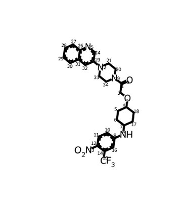 O=C(COC1CCC(Nc2ccc([N+](=O)[O-])c(C(F)(F)F)c2)CC1)N1CCN(c2cnc3ccccc3c2)CC1